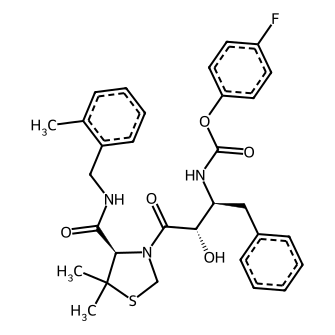 Cc1ccccc1CNC(=O)[C@H]1N(C(=O)[C@@H](O)[C@H](Cc2ccccc2)NC(=O)Oc2ccc(F)cc2)CSC1(C)C